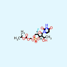 CC(C)OC(=O)OCOP1(=O)OC[C@@]2(CF)O[C@@H](n3ccc(=O)[nH]c3=O)C(C(C)O)[C@@H]2O1